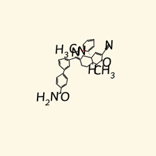 C[C@@H]1C(=O)C(C#N)=C[C@]2(c3ccccc3)c3nn(C)c(-c4cccc(-c5ccc(C(N)=O)cc5)c4)c3CC[C@@H]12